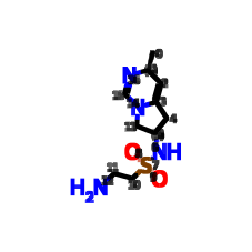 C[C@H]1C=C2C[C@H](NS(=O)(=O)CCN)CN2C=N1